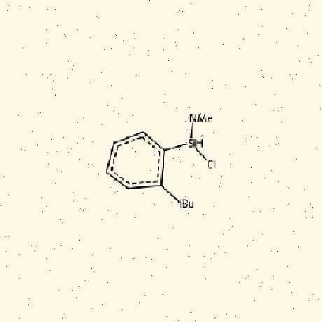 CCC(C)c1ccccc1[SiH](Cl)NC